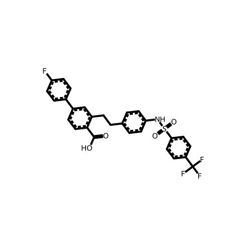 O=C(O)c1ccc(-c2ccc(F)cc2)cc1CCc1ccc(NS(=O)(=O)c2ccc(C(F)(F)F)cc2)cc1